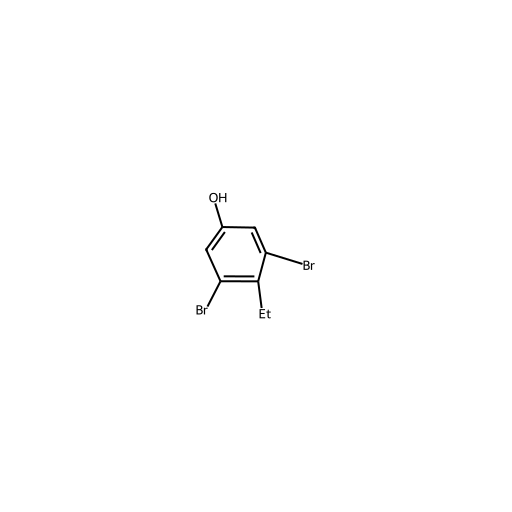 CCc1c(Br)cc(O)cc1Br